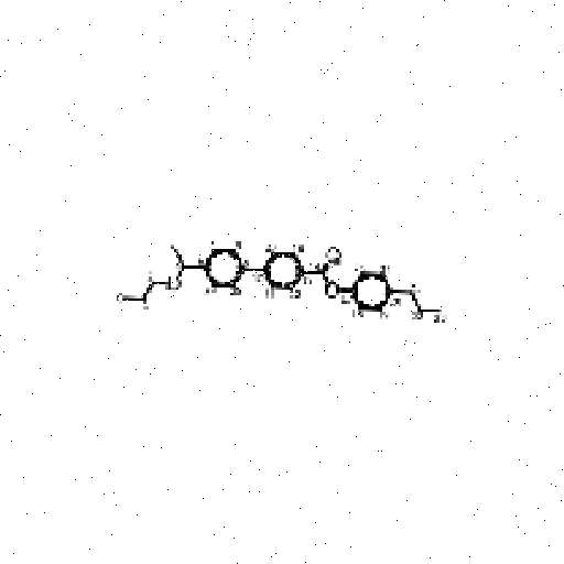 CCCOC(C)c1ccc(-c2ccc(C(=O)Oc3ccc(CCC)cc3)cc2)cc1